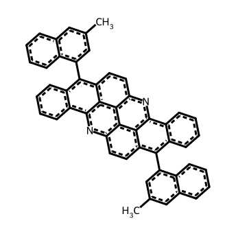 Cc1cc(-c2c3ccccc3c3nc4ccc5c(-c6cc(C)cc7ccccc67)c6ccccc6c6nc7ccc2c3c7c4c56)c2ccccc2c1